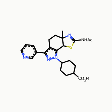 CC(=O)NC1=NC2(C)CCc3c(-c4cccnc4)nn(C4CCC(C(=O)O)CC4)c3C2S1